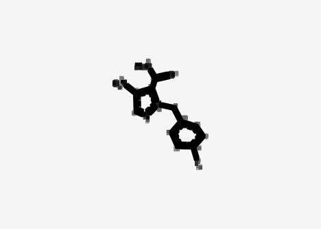 COC(=O)c1c([N+](=O)[O-])cnn1Cc1ccc(F)cc1